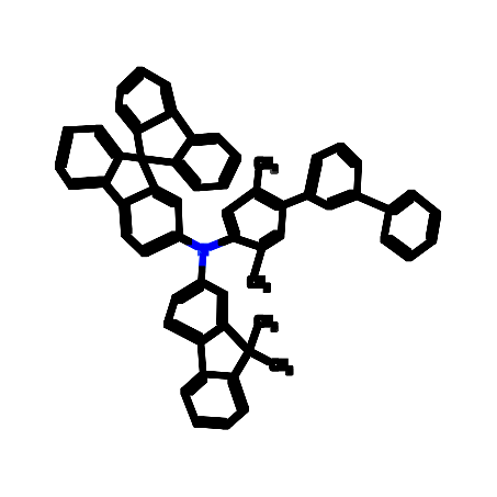 Cc1cc(N(c2ccc3c(c2)C(C)(C)c2ccccc2-3)c2ccc3c(c2)C2(c4ccccc4-c4ccccc42)c2ccccc2-3)c(C)cc1-c1cccc(-c2ccccc2)c1